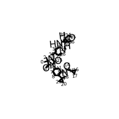 CC1(C)C(=O)N(c2ccc3c(c2)N(C(=O)C2CC2)CC32CC2)C(=O)N1Cc1ccnc(NC2[C@H]3COC[C@@H]23)c1